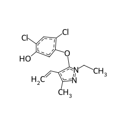 C=Cc1c(C)nn(CC)c1Oc1cc(O)c(Cl)cc1Cl